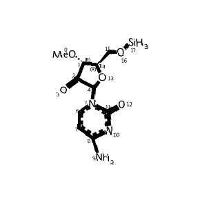 CO[C@H]1C(=O)C(n2ccc(N)nc2=O)O[C@@H]1CO[SiH3]